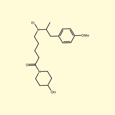 CCN(CCCCC(=O)N1CCC(O)CC1)C(C)Cc1ccc(OC)cc1